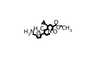 CCOC(=O)c1cc(C2CC2)c2c(C)c(-c3ccc(CN)o3)ccn2c1=O